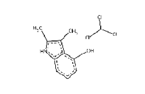 Cc1[nH]c2cccc(O)c2c1C.ClC(Cl)Cl